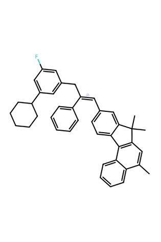 Cc1cc2c(c3ccccc13)-c1ccc(/C=C(/Cc3cc(F)cc(C4CCCCC4)c3)c3ccccc3)cc1C2(C)C